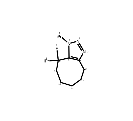 CC(C)n1nnc2c1C(F)(C(C)C)CCCCC2